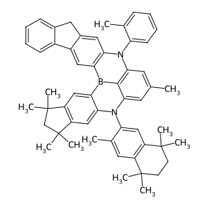 Cc1cc2c3c(c1)N(c1cc4c(cc1C)C(C)(C)CCC4(C)C)c1cc4c(cc1B3c1cc3c(cc1N2c1ccccc1C)Cc1ccccc1-3)C(C)(C)CC4(C)C